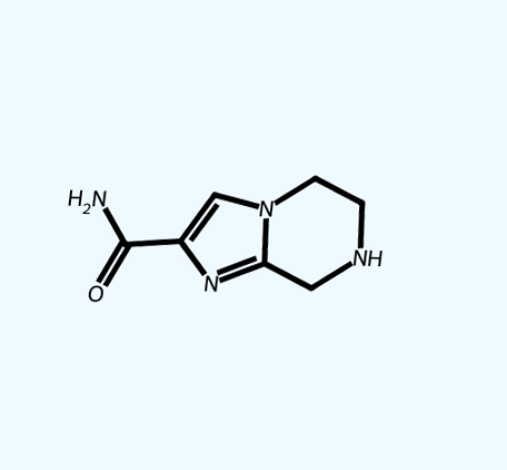 NC(=O)c1cn2c(n1)CNCC2